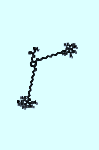 CC(C)[Si](OCCCCCCCCCCCOc1ccc(COC(=O)CN)c(OCCCCCCCCCCCO[Si](C(C)C)(C(C)C)C(C)C)c1)(C(C)C)C(C)C